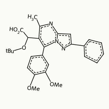 COc1ccc(-c2c(C(OC(C)(C)C)C(=O)O)c(C)nc3cc(-c4ccccc4)nn23)cc1OC